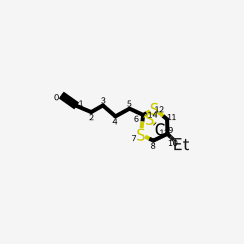 C#CCCCCC12SCC(CC)(CS1)CS2